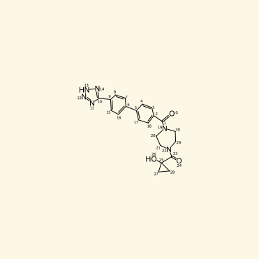 O=C(c1ccc(-c2ccc(-c3nn[nH]n3)cc2)cc1)N1CCN(C(=O)C2(O)CC2)CC1